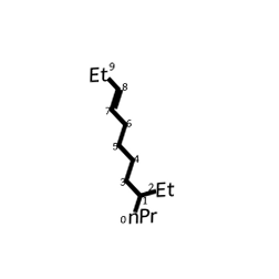 [CH2]CCC(CC)CCCCC=CCC